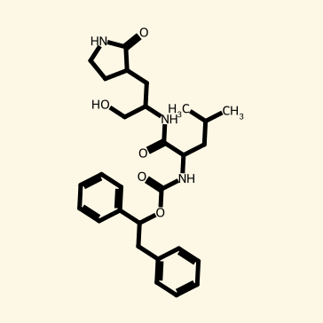 CC(C)CC(NC(=O)OC(Cc1ccccc1)c1ccccc1)C(=O)NC(CO)CC1CCNC1=O